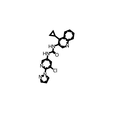 O=C(Nc1cnc(-n2cccn2)c(Cl)c1)Nc1cnc2ccccc2c1C1CC1